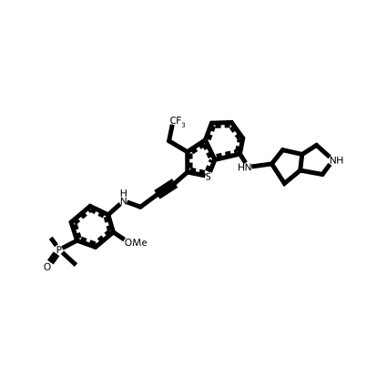 COc1cc(P(C)(C)=O)ccc1NCC#Cc1sc2c(NC3CC4CNCC4C3)cccc2c1CC(F)(F)F